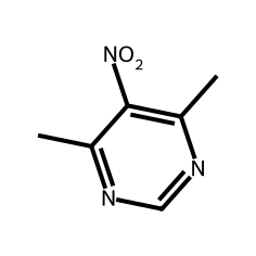 Cc1ncnc(C)c1[N+](=O)[O-]